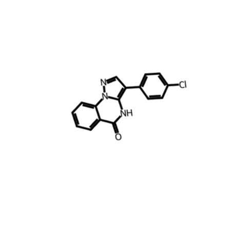 O=c1[nH]c2c(-c3ccc(Cl)cc3)cnn2c2ccccc12